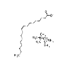 CCCCCCCC/C=C\CCCCCCCC(=O)[O-].C[N+](C)(C)C.[SiH3]O[SiH3]